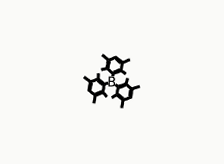 Cc1cc(C)c(C)c(B(c2c(C)c(C)cc(C)c2C)c2c(C)c(C)cc(C)c2C)c1C